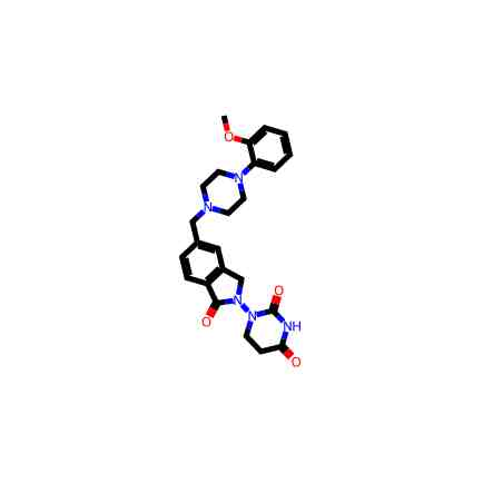 COc1ccccc1N1CCN(Cc2ccc3c(c2)CN(N2CCC(=O)NC2=O)C3=O)CC1